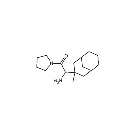 CC1(C(N)C(=O)N2CCCC2)CC2CCCC(C2)C1